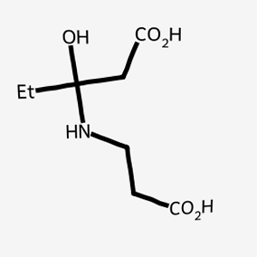 CCC(O)(CC(=O)O)NCCC(=O)O